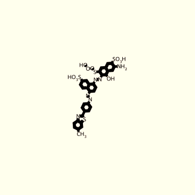 Cc1ccc2nc(-c3ccc(N=Nc4ccc(N=Nc5c(SOOO)cc6cc(S(=O)(=O)O)c(N)cc6c5O)c5cc(S(=O)(=O)O)ccc45)cc3)sc2c1